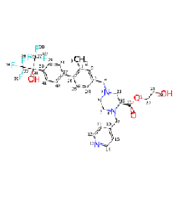 Cc1cc(CN2CCN(Cc3ccncc3)[C@H](C(=O)OCCO)C2)ccc1-c1ccc(C(O)(C(F)(F)F)C(F)(F)F)cc1